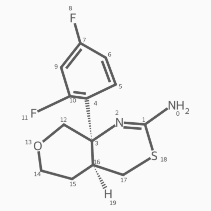 NC1=N[C@]2(c3ccc(F)cc3F)COCC[C@@H]2CS1